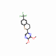 COc1ncc(C2CCc3cc(C(F)(F)F)ccc3S2)nc1OC